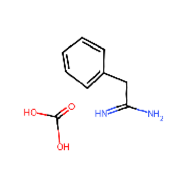 N=C(N)Cc1ccccc1.O=C(O)O